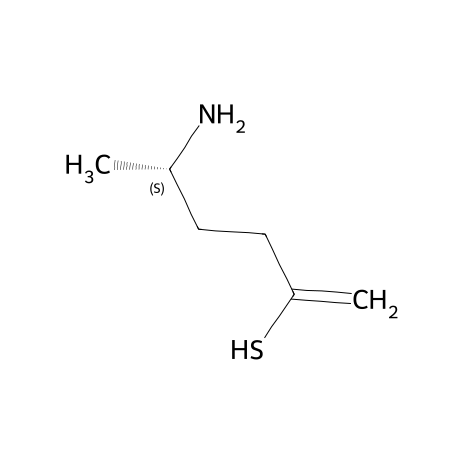 C=C(S)CC[C@H](C)N